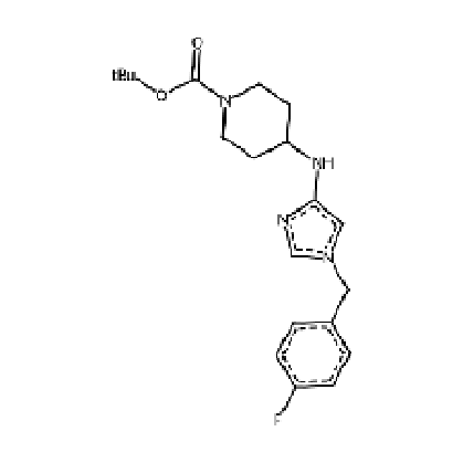 CC(C)(C)OC(=O)N1CCC(Nc2cn(Cc3ccc(F)cc3)cn2)CC1